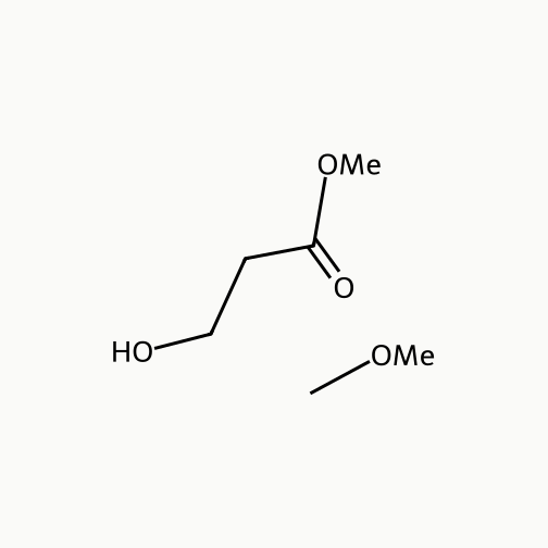 COC.COC(=O)CCO